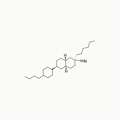 CCCCCC[C@]1(C#N)CC[C@@H]2C[C@@H](C3CCC(CCCC)CC3)CC[C@@H]2C1